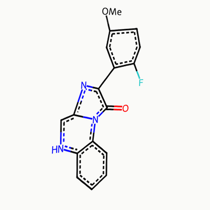 COc1ccc(F)c(-c2nc3c[nH]c4ccccc4n-3c2=O)c1